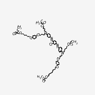 C=CC(=O)OCCCCCN(CCCOc1ccc(OCCCCCCOCC2(CC)COC2)cc1)c1ccc(/N=N/c2ccc(/N=N/c3ccc(N(CCCCCOC(=O)C=C)CCCOc4ccc(OCCCCCCOCC5(CC)COC5)cc4)cc3)c(Cl)c2)cc1